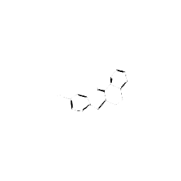 O=C1/C(=C\c2ccc(Br)cc2)CCc2ccccc21